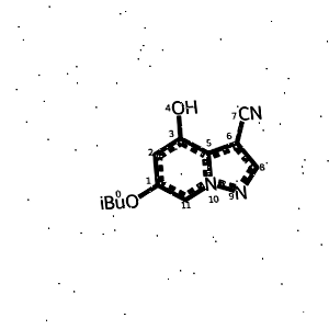 CC(C)COc1cc(O)c2c(C#N)cnn2c1